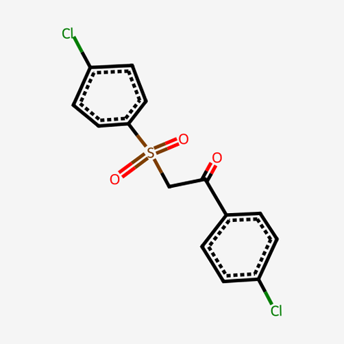 O=C(CS(=O)(=O)c1ccc(Cl)cc1)c1ccc(Cl)cc1